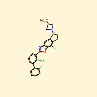 O=C(O)C1CN([C@H]2CCc3c2cc2nc(-c4cccc(-c5ccccc5F)c4Cl)oc2c3F)C1